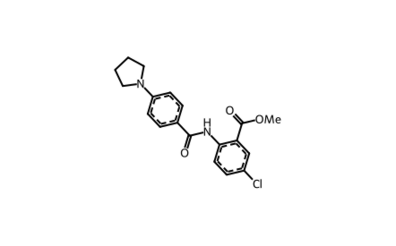 COC(=O)c1cc(Cl)ccc1NC(=O)c1ccc(N2CCCC2)cc1